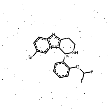 FC(F)Oc1ccccc1[C@H]1NCCc2nc3ccc(Br)cn3c21